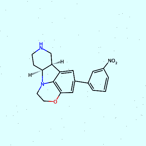 O=[N+]([O-])c1cccc(-c2cc3c4c(c2)[C@@H]2CNCC[C@@H]2N4CCO3)c1